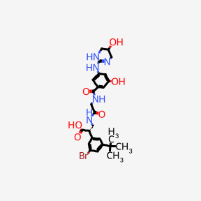 CC(C)(C)c1cc(Br)cc([C@@H](CNC(=O)CNC(=O)c2cc(O)cc(NC3=NCC(O)CN3)c2)C(=O)O)c1